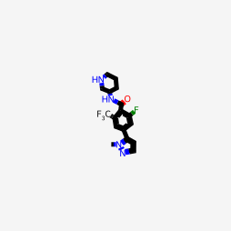 Cn1nccc1-c1cc(F)c(C(=O)NC2CCCNC2)c(C(F)(F)F)c1